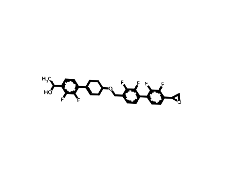 CC(O)c1ccc(C2=CCC(OCc3ccc(-c4ccc(C5CO5)c(F)c4F)c(F)c3F)CC2)c(F)c1F